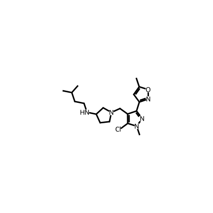 Cc1cc(-c2nn(C)c(Cl)c2CN2CCC(NCCC(C)C)C2)no1